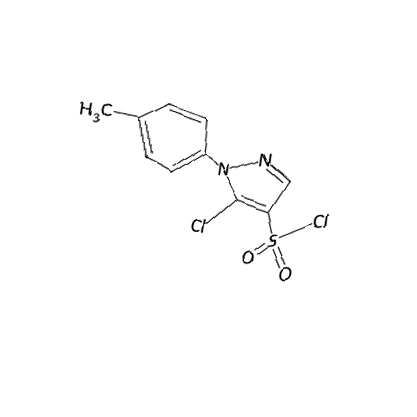 Cc1ccc(-n2ncc(S(=O)(=O)Cl)c2Cl)cc1